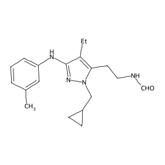 CCc1c(Nc2cccc(C)c2)nn(CC2CC2)c1CCNC=O